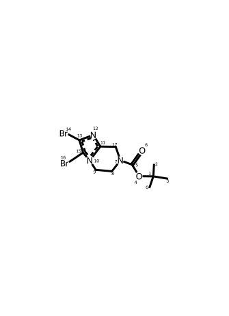 CC(C)(C)OC(=O)N1CCn2c(nc(Br)c2Br)C1